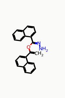 C=C(O/C(=N\N)c1cccc2ccccc12)c1cccc2ccccc12